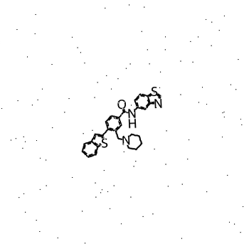 O=C(Nc1ccc2scnc2c1)c1ccc(-c2cc3ccccc3s2)c(CN2CCCCC2)c1